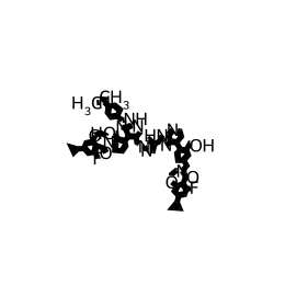 CN(C)c1ccc(-c2nc3c(-c4cccc(N5CCOc6cc(C7CC7)cc(F)c6C5=O)c4CO)c(Cn4cc(-c5nc6c(-c7ccc(CN8CCOc9cc(C%10CC%10)cc(F)c9C8=O)cc7CO)ccnc6[nH]5)cn4)cnc3[nH]2)cc1